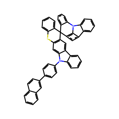 c1ccc2c(c1)Sc1cc3c(cc1C21c2ccccc2-n2c4ccccc4c4cccc1c42)c1ccccc1n3-c1ccc(-c2ccc3ccccc3c2)cc1